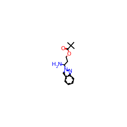 CC(C)(C)C(=O)OCCC(N)n1cc2ccccc2n1